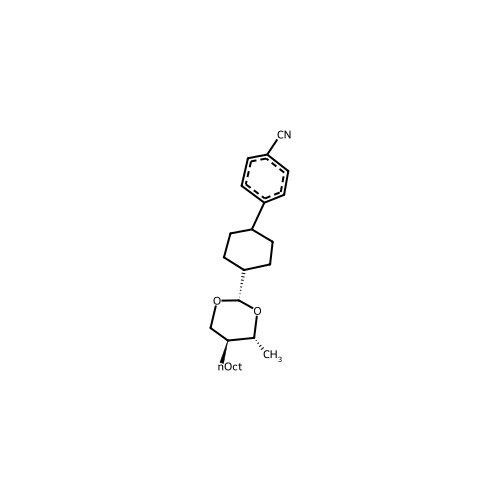 CCCCCCCC[C@H]1CO[C@H](C2CCC(c3ccc(C#N)cc3)CC2)O[C@@H]1C